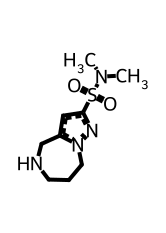 CN(C)S(=O)(=O)c1cc2n(n1)CCCNC2